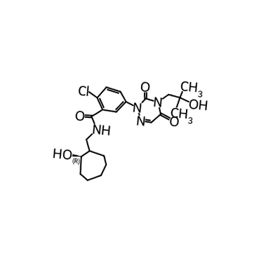 CC(C)(O)Cn1c(=O)cnn(-c2ccc(Cl)c(C(=O)NCC3CCCCC[C@H]3O)c2)c1=O